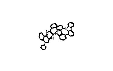 c1ccc(-c2nc3c(cc(-c4ccccc4)c4ccccc43)nc2-n2c3cccc4c5cccc6c7ccccc7n(c7cccc2c7c43)c56)cc1